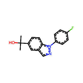 CC(C)(O)c1ccc2c(cnn2-c2ccc(F)cc2)c1